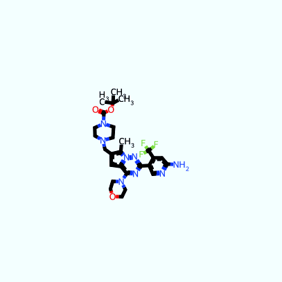 Cc1c(CN2CCN(C(=O)OC(C)(C)C)CC2)cc2c(N3CCOCC3)nc(-c3cnc(N)cc3C(F)(F)F)nn12